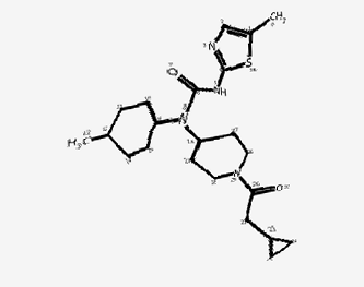 Cc1cnc(NC(=O)N(C2CCC(C)CC2)C2CCN(C(=O)CC3CC3)CC2)s1